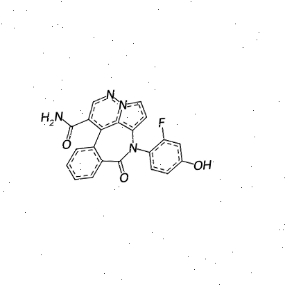 NC(=O)c1cnn2ccc3c2c1-c1ccccc1C(=O)N3c1ccc(O)cc1F